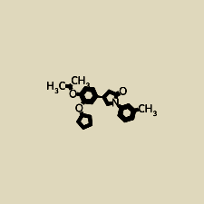 Cc1cccc(N2C[C@@H](c3ccc(OC(C)C)c(OC4CCCC4)c3)CC2=O)c1